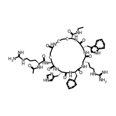 CCNC(=O)[C@@H]1CCCNC(=O)CC[C@H](NC(=O)[C@H](CCCNC(=N)N)NC(C)=O)C(=O)N[C@@H](Cc2c[nH]cn2)C(=O)N[C@H](Cc2ccccc2)C(=O)N[C@@H](CCCNC(=N)N)C(=O)N[C@@H](Cc2c[nH]c3ccccc23)C(=O)N1